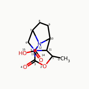 CC1OC(=O)N2CC3CCC(C12)N3C(=O)O